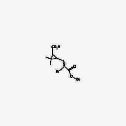 CCC(C)OC(=O)/C(Br)=C/C1C(C(=O)O)C1(C)C